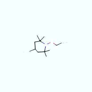 CCCCCCCCCCCON1C(C)(C)CC(OC(C)=O)CC1(C)C